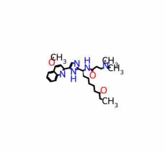 CCC(=O)CCCCC[C@H](NC(=O)CCN(C)C)c1ncc(-c2cc(OC)c3ccccc3n2)[nH]1